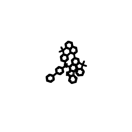 CC1(C)c2ccccc2-c2ccc(-c3ccc4cccc5c4c3-c3cc(N(c4ccc(-c6ccccc6)cc4)c4cccc6c4sc4ccccc46)ccc3C5(C)C)cc21